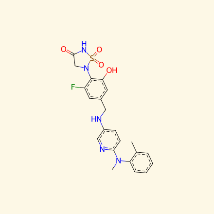 Cc1ccccc1N(C)c1ccc(NCc2cc(O)c(N3CC(=O)NS3(=O)=O)c(F)c2)cn1